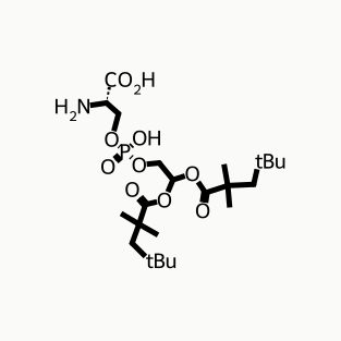 CC(C)(C)CC(C)(C)C(=O)OC(COP(=O)(O)OC[C@H](N)C(=O)O)OC(=O)C(C)(C)CC(C)(C)C